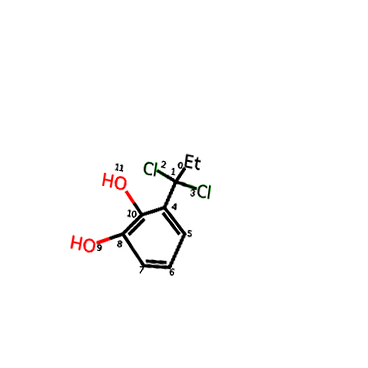 CCC(Cl)(Cl)c1cccc(O)c1O